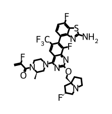 C=C(F)C(=O)N1CCN(c2nc(OC[C@@]34CCCN3C[C@H](F)C4)nc3c(F)c(-c4ccc(F)c5sc(N)nc45)c(C(F)(F)F)cc23)C[C@H]1C